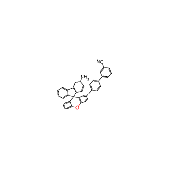 CC1C=CC2=C(C1)c1ccccc1C21c2ccccc2Oc2ccc(-c3ccc(-c4cccc(C#N)c4)cc3)cc21